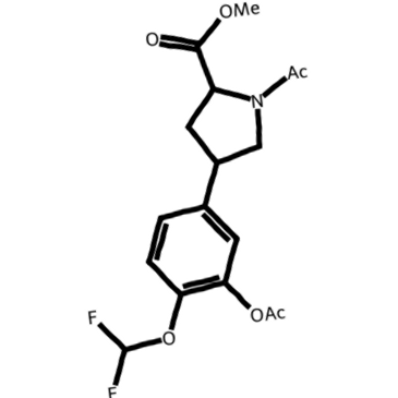 COC(=O)C1CC(c2ccc(OC(F)F)c(OC(C)=O)c2)CN1C(C)=O